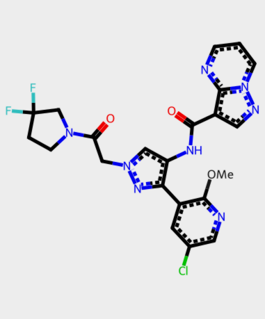 COc1ncc(Cl)cc1-c1nn(CC(=O)N2CCC(F)(F)C2)cc1NC(=O)c1cnn2cccnc12